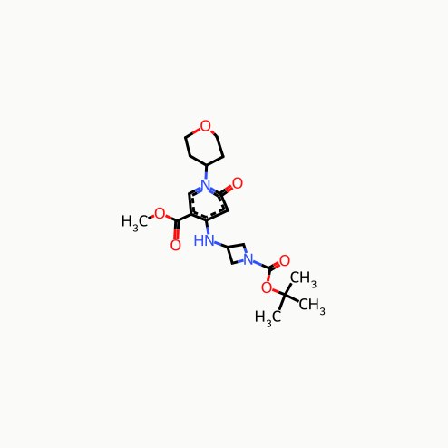 COC(=O)c1cn(C2CCOCC2)c(=O)cc1NC1CN(C(=O)OC(C)(C)C)C1